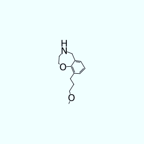 COCCCc1cccc2c1OCCNC2